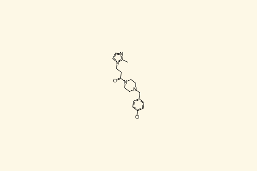 Cc1nccn1CCC(=O)N1CCN(Cc2ccc(Cl)cc2)CC1